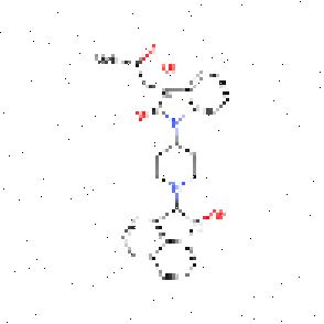 CNC(=O)C[C@]1(O)C(=O)N(C2CCN(C3c4cccc5cccc(c45)[C@@H]3O)CC2)c2ccccc21